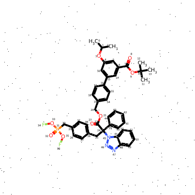 CC(C)Oc1cc(C(=O)OC(C)(C)C)cc(-c2ccc(COC(=O)C(Cc3ccc(CP(=O)(OF)OF)cc3)(c3ccccc3)n3nnc4ccccc43)cc2)c1